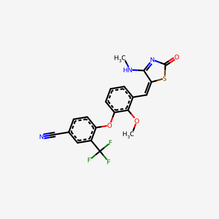 CNC1=NC(=O)SC1=Cc1cccc(Oc2ccc(C#N)cc2C(F)(F)F)c1OC